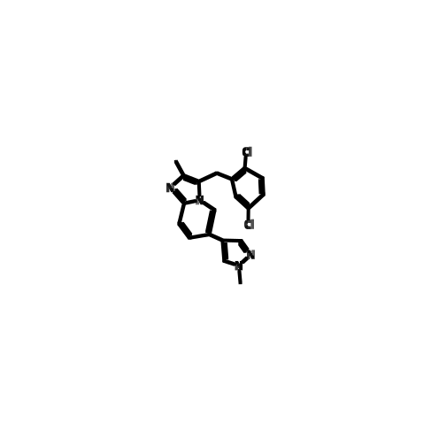 Cc1nc2ccc(-c3cnn(C)c3)cn2c1Cc1cc(Cl)ccc1Cl